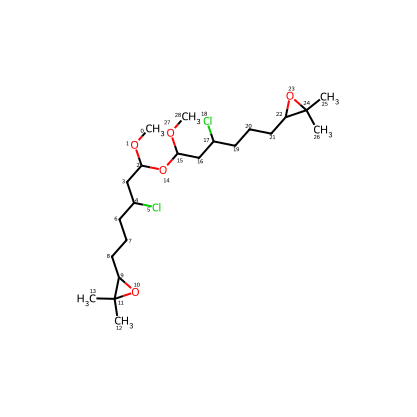 COC(CC(Cl)CCCC1OC1(C)C)OC(CC(Cl)CCCC1OC1(C)C)OC